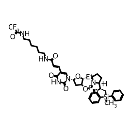 CC[C@H]1O[C@@H](n2cc(/C=C/C(=O)NCCCCCCNC(=O)C(F)(F)F)c(=O)[nH]c2=O)CC1OP1O[C@H](C[Si](C)(c2ccccc2)c2ccccc2)[C@@H]2CCCN21